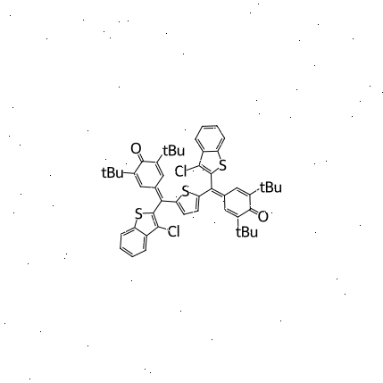 CC(C)(C)C1=CC(=C(c2ccc(C(=C3C=C(C(C)(C)C)C(=O)C(C(C)(C)C)=C3)c3sc4ccccc4c3Cl)s2)c2sc3ccccc3c2Cl)C=C(C(C)(C)C)C1=O